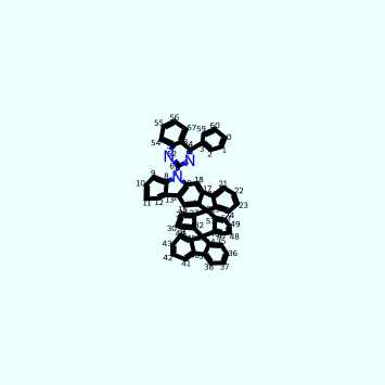 c1ccc(-c2nc(-n3c4ccccc4c4cc5c(cc43)-c3ccccc3C53c4ccccc4C4(c5ccccc5-c5ccccc54)c4ccccc43)nc3ccccc23)cc1